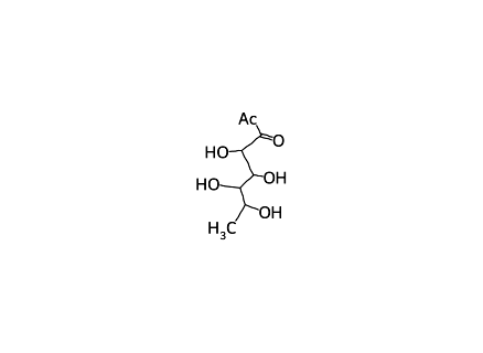 CC(=O)C(=O)C(O)C(O)C(O)C(C)O